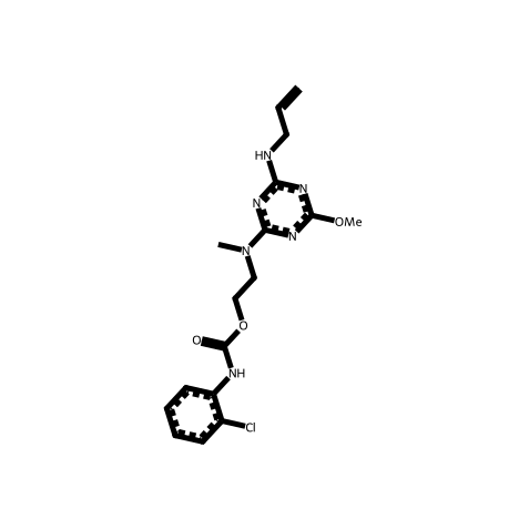 C=CCNc1nc(OC)nc(N(C)CCOC(=O)Nc2ccccc2Cl)n1